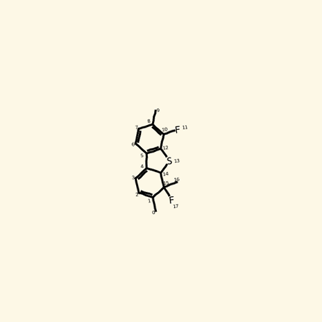 CC1=CC=C2c3ccc(C)c(F)c3SC2C1(C)F